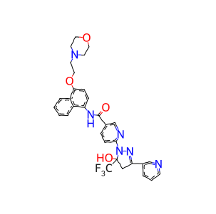 O=C(Nc1ccc(OCCN2CCOCC2)c2ccccc12)c1ccc(N2N=C(c3cccnc3)CC2(O)C(F)(F)F)nc1